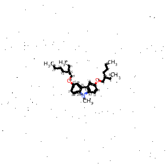 CCCCC(CC)COc1ccc2c(c1)c1cc(OCC(CC)CCCC)ccc1n2C